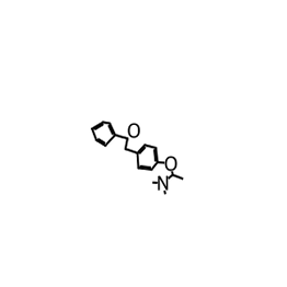 CC(Oc1ccc(CC(=O)c2ccccc2)cc1)N(C)C